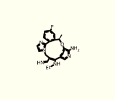 CCN/C1=C(\C=N)Cn2ccnc2-c2ccc(F)cc2[C@@H](C)Oc2cc1cnc2N